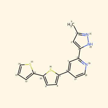 Cc1cc(-c2cc(-c3ccc(-c4cccs4)s3)ccn2)[nH]n1